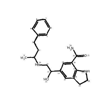 CC(CCc1ccccc1)NCC(O)c1cc2c(c(C(N)=O)c1)NCC2